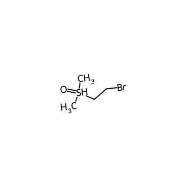 C[SH](C)(=O)CCBr